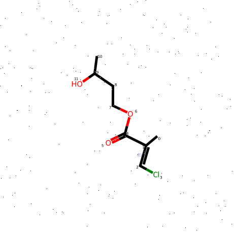 C/C(=C\Cl)C(=O)OCCC(C)O